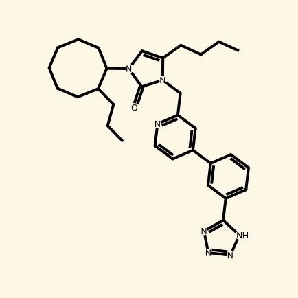 CCCCc1cn(C2CCCCCCC2CCC)c(=O)n1Cc1cc(-c2cccc(-c3nnn[nH]3)c2)ccn1